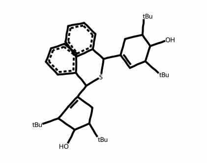 CC(C)(C)C1C=C(C(SC(C2=CC(C(C)(C)C)C(O)C(C(C)(C)C)C2)c2ccccc2)c2ccccc2)CC(C(C)(C)C)C1O